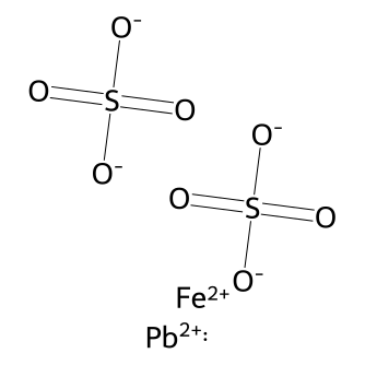 O=S(=O)([O-])[O-].O=S(=O)([O-])[O-].[Fe+2].[Pb+2]